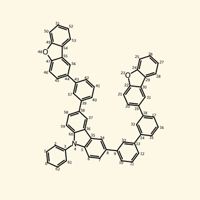 c1ccc(-n2c3ccc(-c4cccc(-c5cccc(-c6ccc7oc8ccccc8c7c6)c5)c4)cc3c3cc(-c4cccc(-c5ccc6oc7ccccc7c6c5)c4)ccc32)cc1